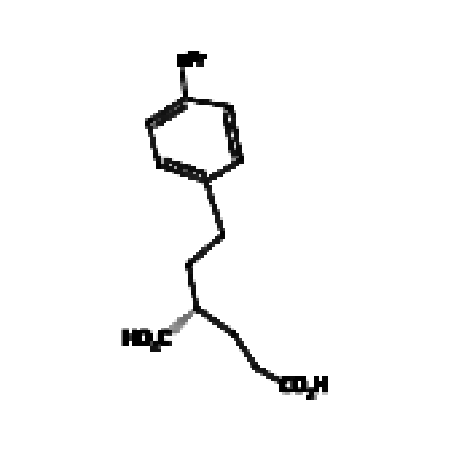 CCCc1ccc(CC[C@H](CCC(=O)O)C(=O)O)cc1